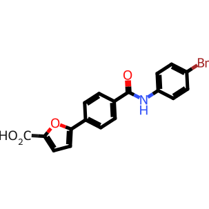 O=C(Nc1ccc(Br)cc1)c1ccc(-c2ccc(C(=O)O)o2)cc1